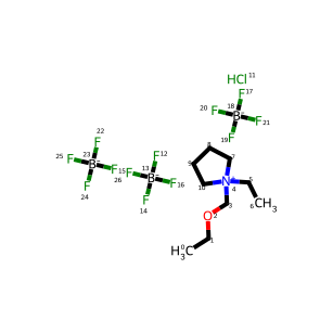 CCOC[N+]1(CC)CCCC1.Cl.F[B-](F)(F)F.F[B-](F)(F)F.F[B-](F)(F)F